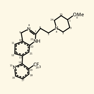 COC1CCN(CCC2=N[CH]c3ccc(-c4ncccc4C(F)(F)F)cc3N2)CC1